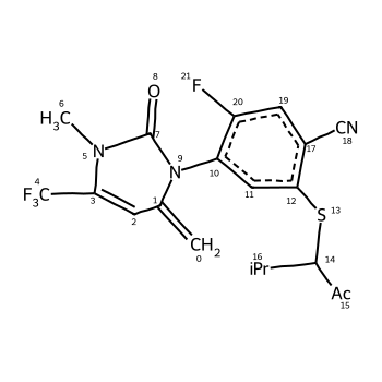 C=C1C=C(C(F)(F)F)N(C)C(=O)N1c1cc(SC(C(C)=O)C(C)C)c(C#N)cc1F